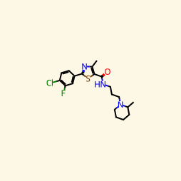 Cc1nc(-c2ccc(Cl)c(F)c2)sc1C(=O)NCCCN1CCCCC1C